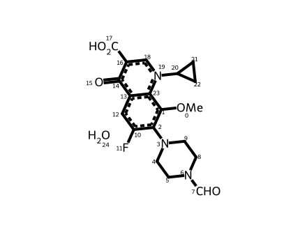 COc1c(N2CCN(C=O)CC2)c(F)cc2c(=O)c(C(=O)O)cn(C3CC3)c12.O